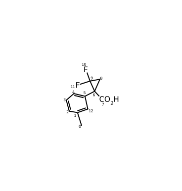 Cc1cccc(C2(C(=O)O)CC2(F)F)c1